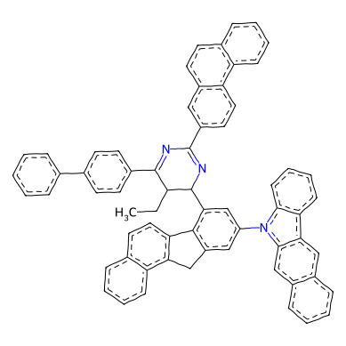 CCC1C(c2ccc(-c3ccccc3)cc2)=NC(c2ccc3c(ccc4ccccc43)c2)=NC1c1cc(-n2c3ccccc3c3cc4ccccc4cc32)cc2c1-c1ccc3ccccc3c1C2